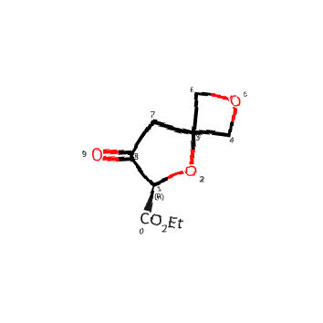 CCOC(=O)[C@@H]1OC2(COC2)CC1=O